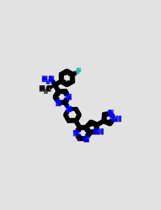 C[C@](N)(c1ccc(F)cc1)c1cnc(N2CC=C(c3ncnc4[nH]c(-c5cn[nH]c5)cc34)CC2)nc1